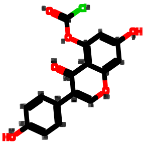 O=C(Cl)Oc1cc(O)cc2occ(-c3ccc(O)cc3)c(=O)c12